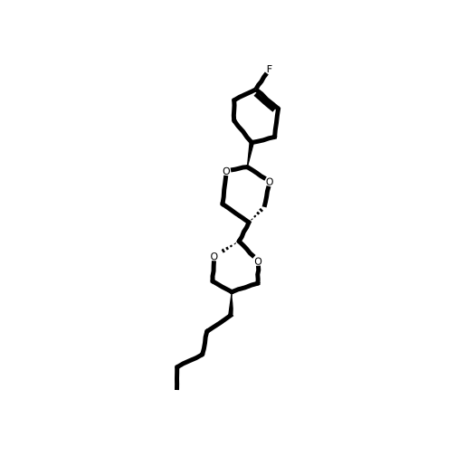 CCCCC[C@H]1CO[C@H]([C@H]2CO[C@H](C3CC=C(F)CC3)OC2)OC1